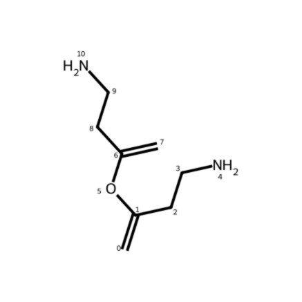 C=C(CCN)OC(=C)CCN